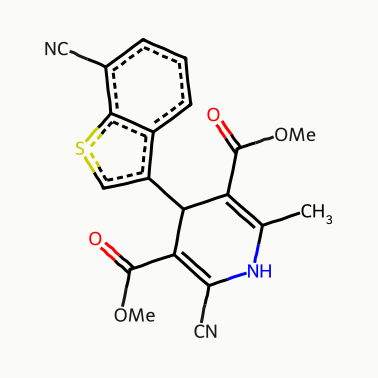 COC(=O)C1=C(C)NC(C#N)=C(C(=O)OC)C1c1csc2c(C#N)cccc12